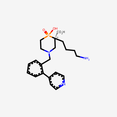 NCCCC[C@@]1(C(=O)O)CN(Cc2ccccc2-c2ccncc2)CCP1(=O)O